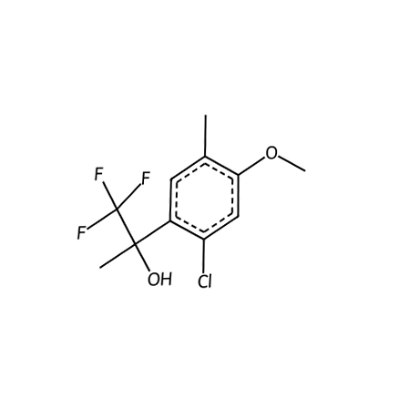 COc1cc(Cl)c(C(C)(O)C(F)(F)F)cc1C